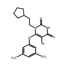 Cc1cc(C)cc(Oc2c(C(C)C)c(=O)[nH]c(=O)n2CCC2CCCC2)c1